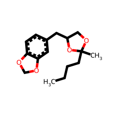 CCCCC1(C)OCC(Cc2ccc3c(c2)OCO3)O1